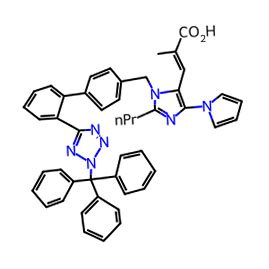 CCCc1nc(-n2cccc2)c(/C=C(\C)C(=O)O)n1Cc1ccc(-c2ccccc2-c2nnn(C(c3ccccc3)(c3ccccc3)c3ccccc3)n2)cc1